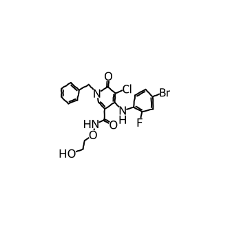 O=C(NOCCO)c1cn(Cc2ccccc2)c(=O)c(Cl)c1Nc1ccc(Br)cc1F